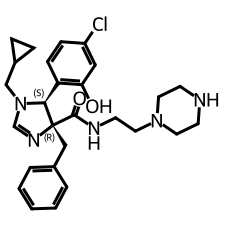 O=C(NCCN1CCNCC1)[C@]1(Cc2ccccc2)N=CN(CC2CC2)[C@H]1c1ccc(Cl)cc1O